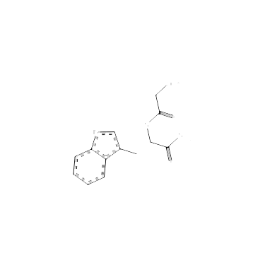 CCCCCCCCCCCC(=O)N[C@@H](Cc1c[nH]c2ccccc12)C(N)=O